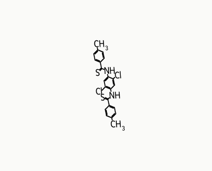 Cc1ccc(C(=S)Nc2cc(Cl)c(NC(=S)c3ccc(C)cc3)cc2Cl)cc1